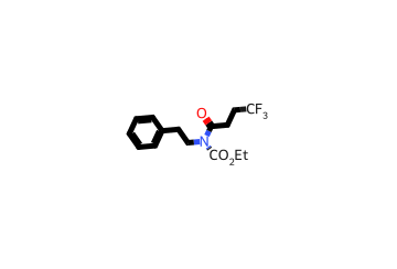 CCOC(=O)N(CCc1ccccc1)C(=O)CCC(F)(F)F